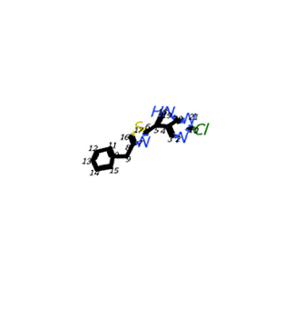 Clc1ncc2c(-c3nc(Cc4ccccc4)cs3)c[nH]c2n1